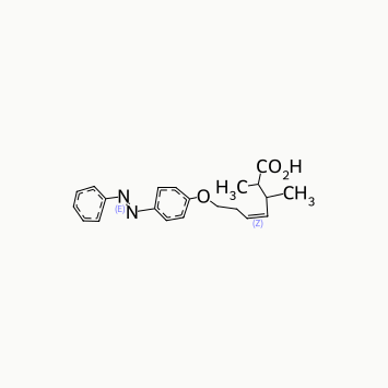 CC(/C=C\CCOc1ccc(/N=N/c2ccccc2)cc1)C(C)C(=O)O